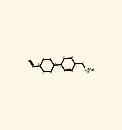 C=CC1CCC(C2C=CC(COC)CC2)CC1